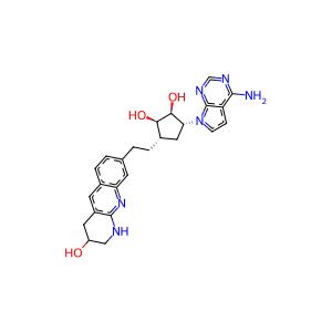 Nc1ncnc2c1ccn2[C@@H]1C[C@H](CCc2ccc3cc4c(nc3c2)NCC(O)C4)[C@@H](O)[C@H]1O